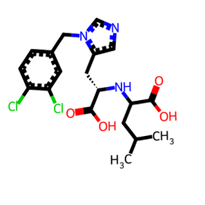 CC(C)CC(N[C@@H](Cc1cncn1Cc1ccc(Cl)c(Cl)c1)C(=O)O)C(=O)O